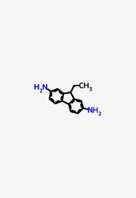 CCC1c2cc(N)ccc2-c2ccc(N)cc21